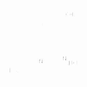 C=Cn1ccnc1C1OC1C.Cl